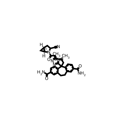 Cc1nnc(C2(C[C@H](C)NCC(=O)N3C(C#N)C[C@@H]4C[C@@H]43)c3ccc(C(N)=O)cc3CCc3cc(C(N)=O)ccc32)[nH]1